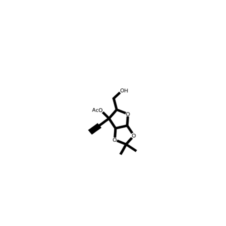 C#CC1(OC(C)=O)C(CO)OC2OC(C)(C)OC21